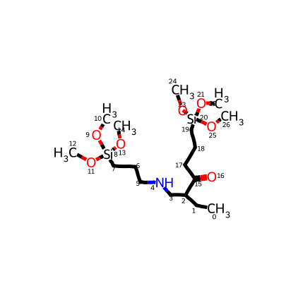 CCC(CNCCC[Si](OC)(OC)OC)C(=O)CCC[Si](OC)(OC)OC